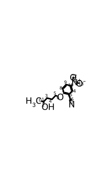 CC(O)CCCOc1ccc([N+](=O)[O-])cc1C#N